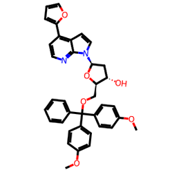 COc1ccc(C(OC[C@H]2O[C@@H](n3ccc4c(-c5ccco5)ccnc43)C[C@@H]2O)(c2ccccc2)c2ccc(OC)cc2)cc1